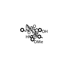 C=CCN1CC(=O)N2C(Cc3ccc(O)cc3)C(=O)N(C(c3c[nH]c4ccc(OC)cc34)S(=O)(=O)c3ccc(C)cc3)CC2N1C(=O)NCc1ccccc1